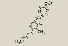 C/C=C/CCc1ccc(/C=C/C2CCC(OCC)CO2)c(F)c1C